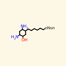 CCCCCCCCCCCCCCCC1CC(O)C(N)CC1N